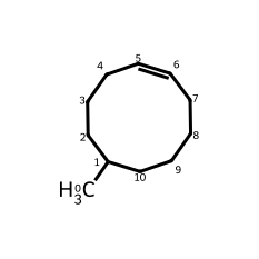 CC1CCCC=CCCCC1